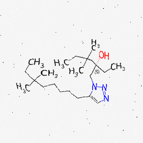 CCC(C)(C)CCCCCc1cnnn1C[C@](O)(CC)C(C)(C)CC